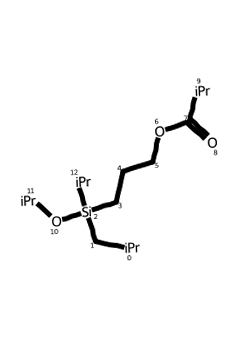 CC(C)C[Si](CCCOC(=O)C(C)C)(OC(C)C)C(C)C